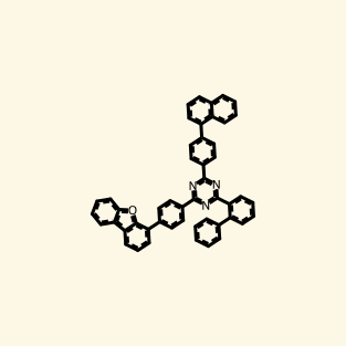 c1ccc(-c2ccccc2-c2nc(-c3ccc(-c4cccc5ccccc45)cc3)nc(-c3ccc(-c4cccc5c4oc4ccccc45)cc3)n2)cc1